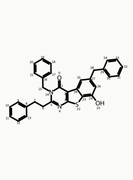 O=c1c2c(nc(CCc3ccccc3)n1Cc1ccccc1)sc1c(O)cc(Cc3ccccc3)cc12